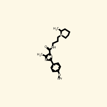 CCCOc1ccc(-c2nc(C)c(C(=O)NCCCN3CCCCC3C)s2)cc1